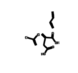 C=C(CC(=O)O)C(=O)O.C=C(Cl)Cl.C=CC=C